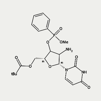 COP(=O)(OC1C(N)[C@H](n2ccc(=O)[nH]c2=O)O[C@@H]1COC(=O)C(C)(C)C)c1ccccc1